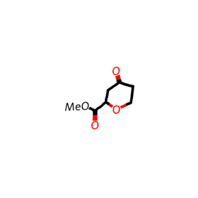 COC(=O)C1CC(=O)CCO1